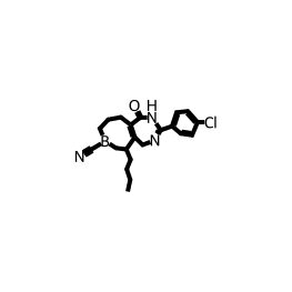 CCCCC1CB(C#N)CCCC2=C1CN=C(c1ccc(Cl)cc1)NC2=O